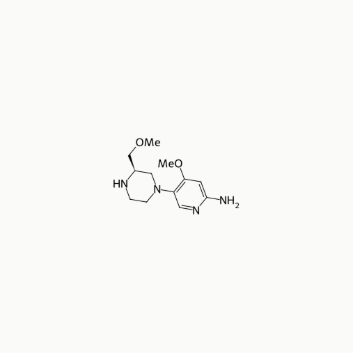 COC[C@H]1CN(c2cnc(N)cc2OC)CCN1